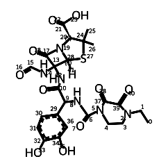 CCN1CCN(C(=O)NC(C(=O)NC2(NC=O)C(=O)N3[C@@H](C(=O)O)C(C)(C)S[C@@H]32)c2ccc(O)c(O)c2)C(=O)C1=O